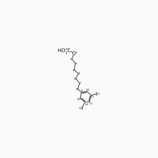 O=C(O)OCCCCCCCc1cc(I)cc(I)c1